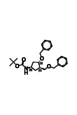 CC(C)(C)OC(=O)N[C@@H]1C[C@H](COCc2ccccc2)[C@@H](OCc2ccccc2)C1